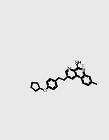 Cc1ccc2c(c1)nc(N)c1ncc(CCc3ccc(OC4CCCC4)cc3)cc12